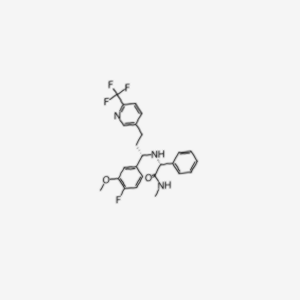 CNC(=O)[C@H](N[C@@H](CCc1ccc(C(F)(F)F)nc1)c1ccc(F)c(OC)c1)c1ccccc1